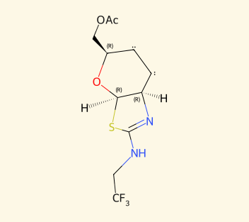 CC(=O)OC[C@H]1[C][C][C@H]2N=C(NCC(F)(F)F)S[C@H]2O1